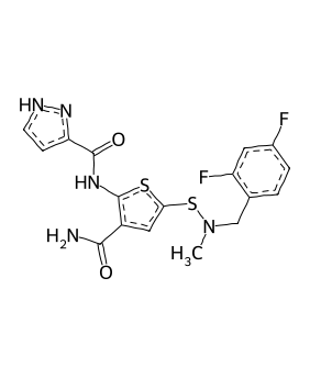 CN(Cc1ccc(F)cc1F)Sc1cc(C(N)=O)c(NC(=O)c2cc[nH]n2)s1